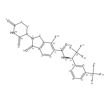 O=C1CCC(N2Cc3c(ccc(C(=O)N[C@H](c4cccc(C(F)(F)F)c4)C(F)(F)F)c3F)C2=O)C(=O)N1